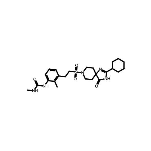 CNC(=O)Nc1cccc(CCS(=O)(=O)N2CCC3(CC2)N=C(C2CCCCC2)NC3=O)c1C